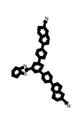 N#Cc1ccc2cc(-c3ccc(-c4cc(-c5ccc(-c6ccc7cc(C#N)ccc7c6)cc5)cc(-c5nc6ccccc6s5)c4)cc3)ccc2c1